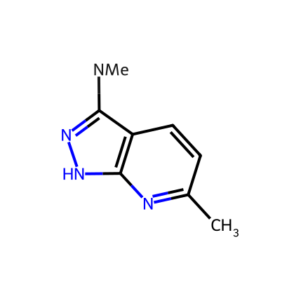 CNc1n[nH]c2nc(C)ccc12